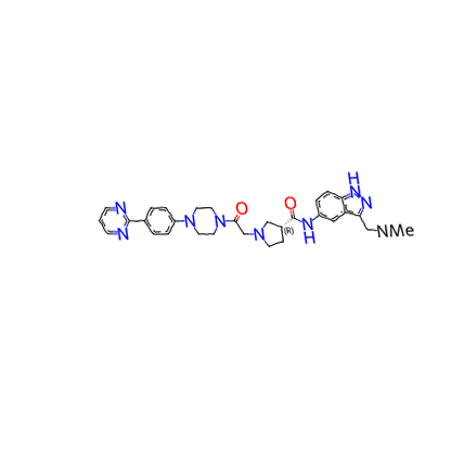 CNCc1n[nH]c2ccc(NC(=O)[C@@H]3CCN(CC(=O)N4CCN(c5ccc(-c6ncccn6)cc5)CC4)C3)cc12